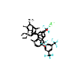 CCC1=Cc2c(-c3cc(C(F)(F)F)cc(C(F)(F)F)c3)ccc(C)c2C1c1c(C)c2c3c(-c4cc(C(F)(F)F)cc(C(F)(F)F)c4)c1[Si](CC)(CC)C3=C(C)[CH]2[Zr+2].[Cl-].[Cl-]